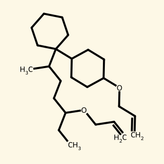 C=CCOC(CC)CCC(C)C1(C2CCC(OCC=C)CC2)CCCCC1